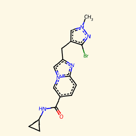 Cn1cc(Cc2cn3cc(C(=O)NC4CC4)ccc3n2)c(Br)n1